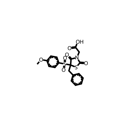 COc1ccc(S(=O)(=O)C2(Cc3ccccc3)SC(=O)N(CC(=O)O)C2=O)cc1